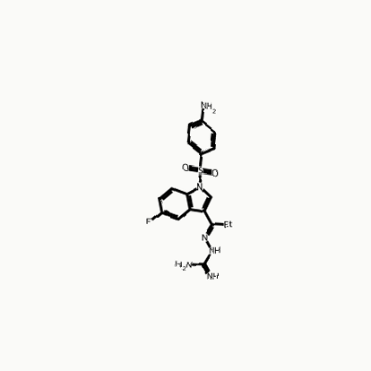 CCC(=NNC(=N)N)c1cn(S(=O)(=O)c2ccc(N)cc2)c2ccc(F)cc12